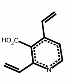 C=Cc1ccnc(C=C)c1C(=O)O